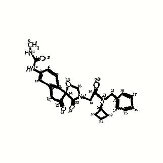 CNC(=O)Nc1ccc2c(c1)CC(=O)[C@]21OCN(CC(=O)N(Cc2ccccc2)C2CCC2)C1=O